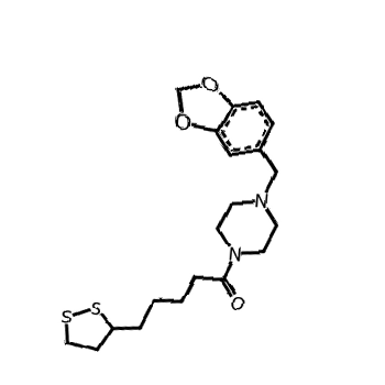 O=C(CCCCC1CCSS1)N1CCN(Cc2ccc3c(c2)OCO3)CC1